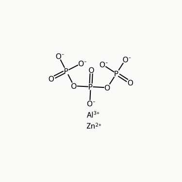 O=P([O-])([O-])OP(=O)([O-])OP(=O)([O-])[O-].[Al+3].[Zn+2]